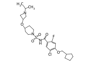 CC(C)N1CC(OC2CCN(S(=O)(=O)NC(=O)c3cc(Cl)c(OCC4CCCC4)cc3F)CC2)C1